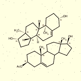 CC(=O)O[C@H]1CC[C@@]2(C)C(=CCC3C2CC[C@@]2(C)C3CC[C@@H]2O)C1.C[C@]12CC[C@H]3[C@@H](CC=C4C[C@@H](O)CC[C@@]43C)[C@@H]1CC[C@@H]2O